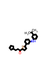 CC(C)c1cccc(Nc2cccc(-c3ccc(C(=O)CCC4=CC=CC4)s3)c2)c1